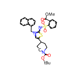 COC(=O)c1ccccc1S(=O)(=O)/N=c1\sc(C2CCN(C(=O)OC(C)(C)C)CC2)cn1Cc1cccc2ccccc12